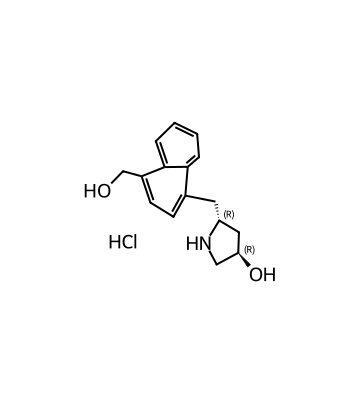 Cl.OCc1ccc(C[C@@H]2C[C@@H](O)CN2)c2ccccc12